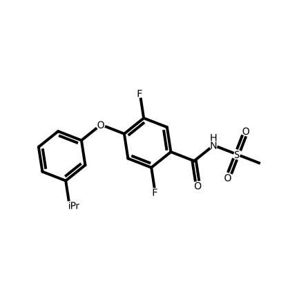 CC(C)c1cccc(Oc2cc(F)c(C(=O)NS(C)(=O)=O)cc2F)c1